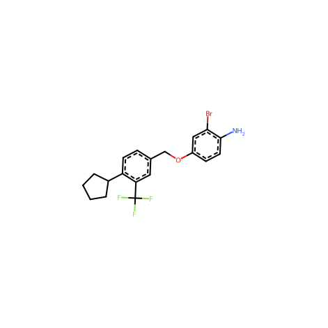 Nc1ccc(OCc2ccc(C3CCCC3)c(C(F)(F)F)c2)cc1Br